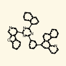 c1cc(-c2nc(-c3cccc4ccccc34)nc(-c3cncc4oc5ccccc5c34)n2)cc(-c2cc3cccnc3c3c2ccc2ccccc23)c1